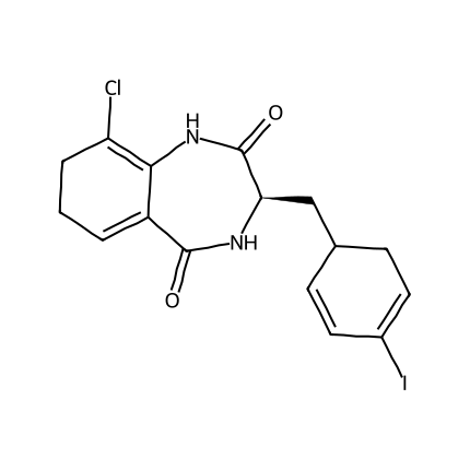 O=C1N[C@H](CC2C=CC(I)=CC2)C(=O)NC2=C(Cl)CCC=C12